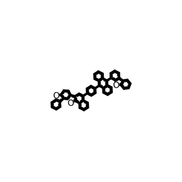 c1ccc2c(c1)oc1c(-c3c4ccccc4c(-c4ccc(-c5cc6c7ccc8oc9ccccc9c8c7oc6c6ccccc56)cc4)c4ccccc34)cccc12